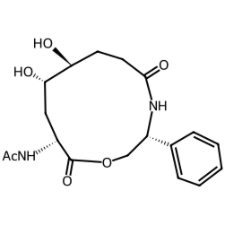 CC(=O)N[C@@H]1C[C@H](O)[C@@H](O)CCC(=O)N[C@H](c2ccccc2)COC1=O